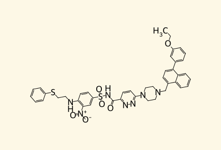 CCOc1cccc(-c2ccc(CN3CCN(c4ccc(C(=O)NS(=O)(=O)c5ccc(NCCSc6ccccc6)c([N+](=O)[O-])c5)nn4)CC3)c3ccccc23)c1